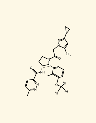 [2H]C([2H])([2H])Oc1cccc([C@@H]2[C@H](NC(=O)c3ccc(C)nn3)CCN2C(=O)Cn2nc(C3CC3)cc2C(F)(F)F)c1C